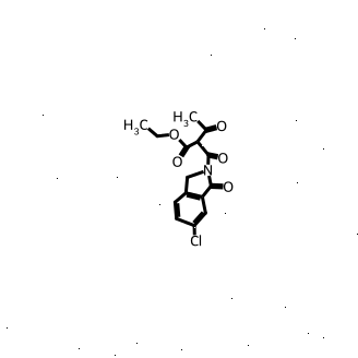 CCOC(=O)C(C(C)=O)C(=O)N1Cc2ccc(Cl)cc2C1=O